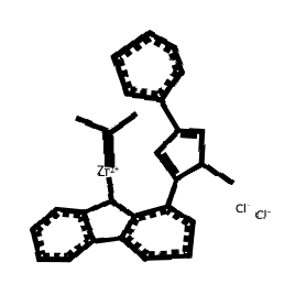 C[C](C)=[Zr+2][CH]1c2ccccc2-c2cccc(C3=CC(c4ccccc4)=CC3C)c21.[Cl-].[Cl-]